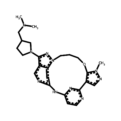 CN(C)CC1CCN(c2nn3c4cc(ncc24)Nc2ccnc(n2)-c2cnn(C)c2OCCC3)C1